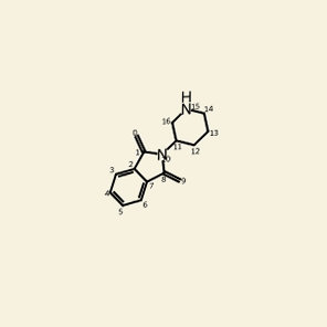 C=c1c2ccccc2c(=C)n1C1CCCNC1